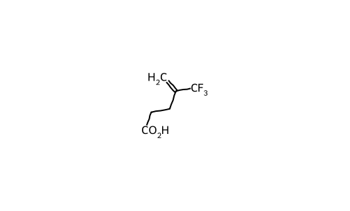 C=C(CCC(=O)O)C(F)(F)F